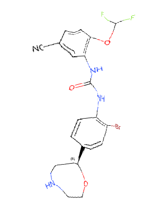 N#Cc1ccc(OC(F)F)c(NC(=O)Nc2ccc([C@@H]3CNCCO3)cc2Br)c1